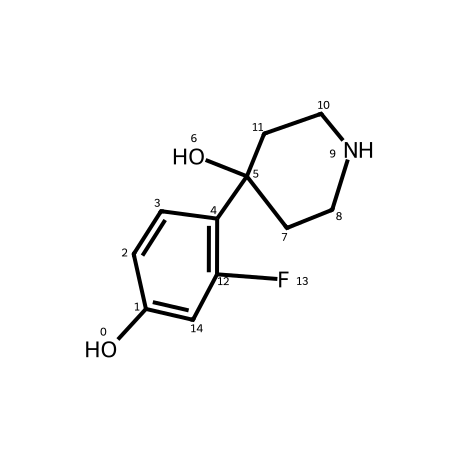 Oc1ccc(C2(O)CCNCC2)c(F)c1